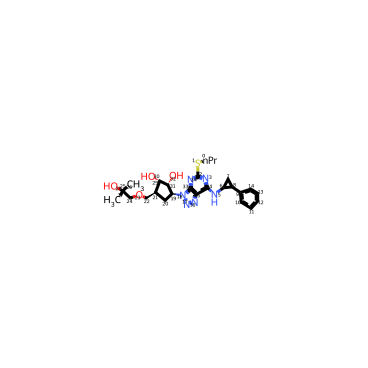 CCCSc1nc(NC2CC2c2ccccc2)c2nnn([C@H]3C[C@@H](COCC(C)(C)O)[C@H](O)[C@@H]3O)c2n1